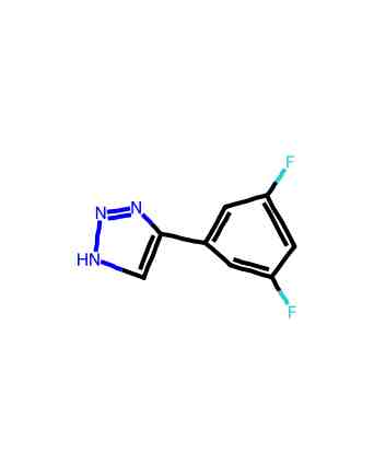 Fc1cc(F)cc(-c2c[nH]nn2)c1